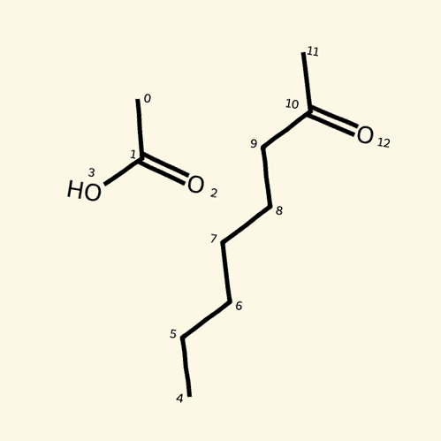 CC(=O)O.CCCCCCC(C)=O